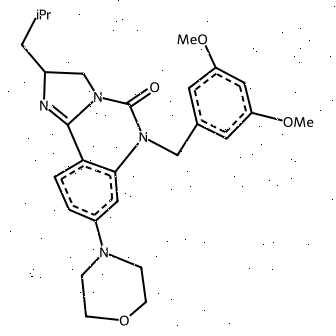 COc1cc(CN2C(=O)N3CC(CC(C)C)N=C3c3ccc(N4CCOCC4)cc32)cc(OC)c1